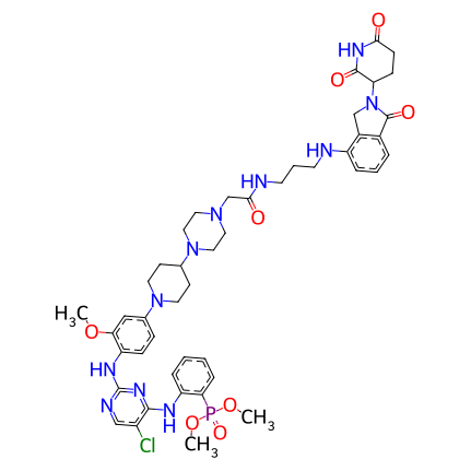 COc1cc(N2CCC(N3CCN(CC(=O)NCCCNc4cccc5c4CN(C4CCC(=O)NC4=O)C5=O)CC3)CC2)ccc1Nc1ncc(Cl)c(Nc2ccccc2P(=O)(OC)OC)n1